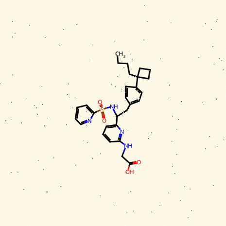 CCCCC1(c2ccc(CC(NS(=O)(=O)c3ccccn3)c3cccc(NCC(=O)O)n3)cc2)CCC1